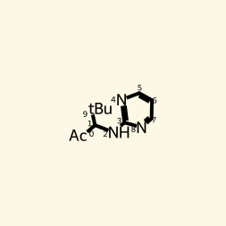 CC(=O)C(Nc1ncccn1)C(C)(C)C